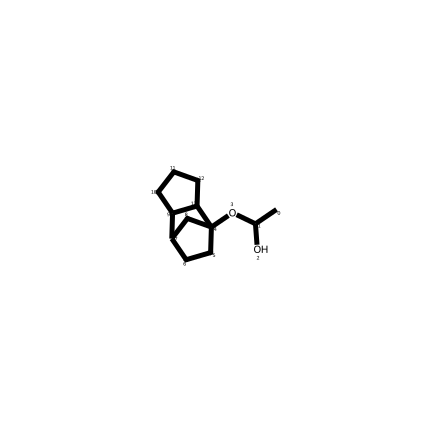 CC(O)OC12CCC(C1)C1CCCC12